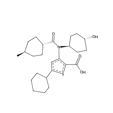 C[C@H]1CC[C@H](C(=O)N(c2cc(C3CCCCC3)sc2C(=O)O)[C@H]2CC[C@H](O)CC2)CC1